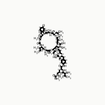 C/C=C(\C)[C@H]1OC(=O)C(C)(C)NC(=O)[C@H]([C@H](C)CC)NC(=O)CN(C)C(=O)[C@@H](Cc2ccc(Cl)cc2)N(C)C(=O)[C@H](C)NC(=O)[C@@H](CC(C)C)OC(=O)/C(C)=C/C[C@H]([C@@H](CCCC[C@H](Cc2ccc(NC(=O)[C@H](CCCNC(N)=O)NC(=O)[C@@H](N)C(C)C)cc2)N(C)C(=O)O)N(C)C(=O)O)[C@@H]1C